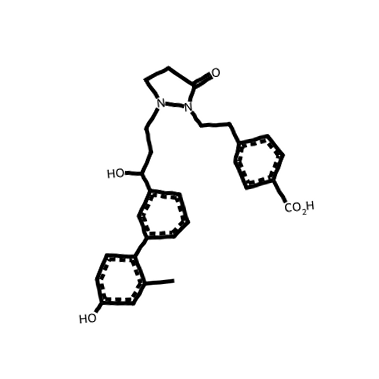 Cc1cc(O)ccc1-c1cccc(C(O)CCN2CCC(=O)N2CCc2ccc(C(=O)O)cc2)c1